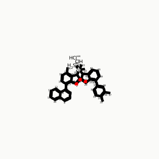 CC1=Cc2c(-c3cccc4ccccc34)ccc(C)c2[CH]1[Zr]([CH3])([CH3])(=[SiH2])[CH]1C(C(C)C)=Cc2c(-c3ccc(C)c(C)c3)cccc21.Cl.Cl